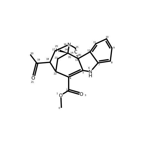 COC(=O)C1=C2Nc3ccccc3[C@@]23CCN2CC(C(C)=O)C1C[C@H]23